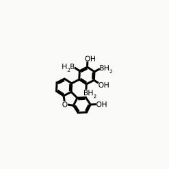 Bc1c(O)c(B)c(-c2cccc3oc4ccc(O)cc4c23)c(B)c1O